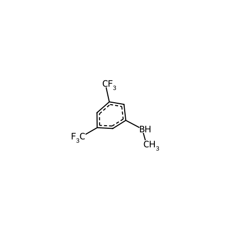 CBc1cc(C(F)(F)F)cc(C(F)(F)F)c1